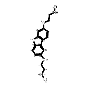 CCNCCOc1ccc2c(c1)sc1ccc(OCCNCC)cc12